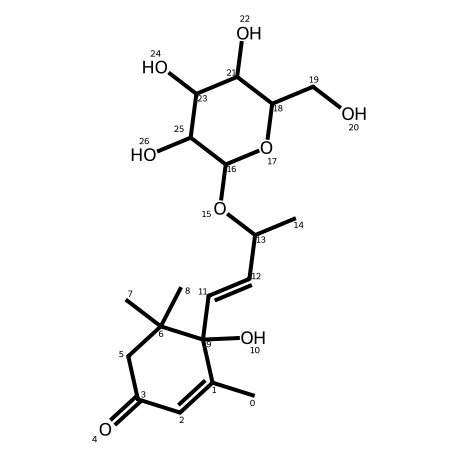 CC1=CC(=O)CC(C)(C)C1(O)C=CC(C)OC1OC(CO)C(O)C(O)C1O